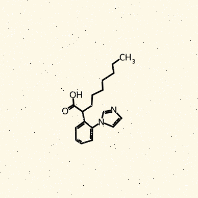 CCCCCCCC(C(=O)O)c1ccccc1-n1ccnc1